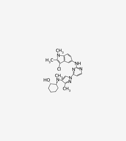 Cc1nn(-c2ccnc(Nc3ccc4c(c3)c(Cl)c(C)n4C)n2)cc1N(C)[C@H]1CCCC[C@@H]1O